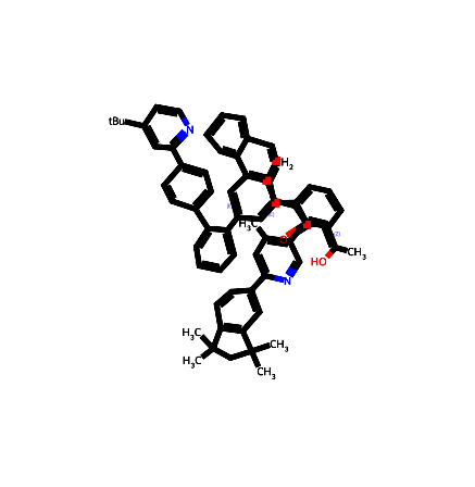 C=C/C(=C\C(=C/c1c(CCC(=O)/C=C(/C)O)ccc2ccccc12)c1ccccc1-c1ccc(-c2cc(C(C)(C)C)ccn2)cc1)c1ccccc1-c1cnc(-c2ccc3c(c2)C(C)(C)CC3(C)C)cc1C